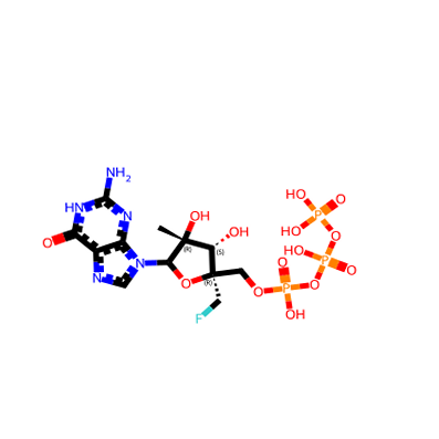 C[C@]1(O)C(n2cnc3c(=O)[nH]c(N)nc32)O[C@](CF)(COP(=O)(O)OP(=O)(O)OP(=O)(O)O)[C@H]1O